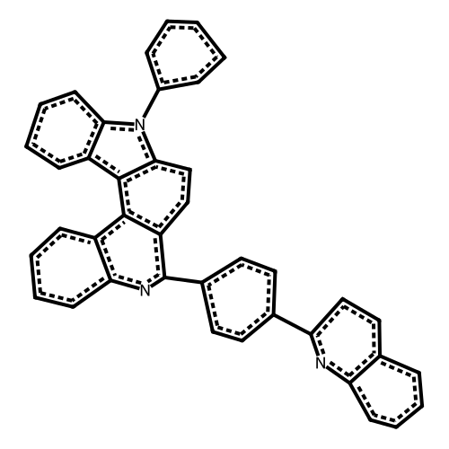 c1ccc(-n2c3ccccc3c3c4c(ccc32)c(-c2ccc(-c3ccc5ccccc5n3)cc2)nc2ccccc24)cc1